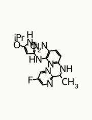 CC(C)Oc1cc(Nc2nc(NC(C)c3ncc(F)cn3)ccc2[N+](=O)[O-])n[nH]1